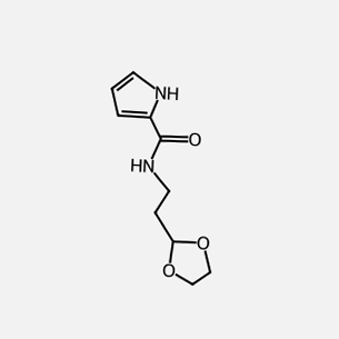 O=C(NCCC1OCCO1)c1ccc[nH]1